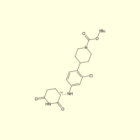 CC(C)(C)OC(=O)N1CCC(c2ccc(N[C@H]3CCC(=O)NC3=O)cc2Cl)CC1